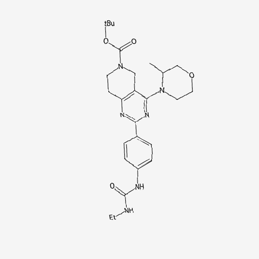 CCNC(=O)Nc1ccc(-c2nc3c(c(N4CCOCC4C)n2)CN(C(=O)OC(C)(C)C)CC3)cc1